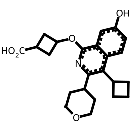 O=C(O)C1CC(Oc2nc(C3CCOCC3)c(C3CCC3)c3ccc(O)cc23)C1